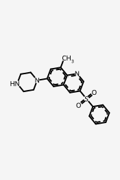 Cc1cc(N2CCNCC2)cc2cc(S(=O)(=O)c3ccccc3)cnc12